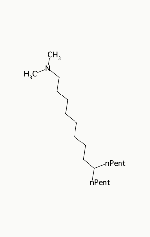 CCCCCC(CCCCC)CCCCCCCCN(C)C